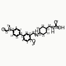 COc1ccc(-c2ccc(N(C)C=O)cc2)cc1CNC1CCC(CNC(=O)O)CC1